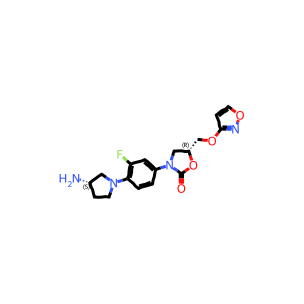 N[C@H]1CCN(c2ccc(N3C[C@H](COc4ccon4)OC3=O)cc2F)C1